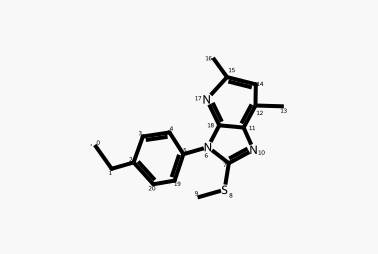 [CH2]Cc1ccc(-n2c(SC)nc3c(C)cc(C)nc32)cc1